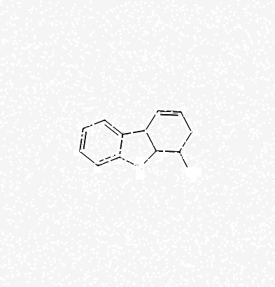 OC1CC=CC2c3ccccc3NC12